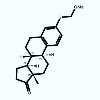 COCSc1ccc2c(c1)CC[C@@H]1[C@@H]2CC[C@]2(C)C(=O)CC[C@@H]12